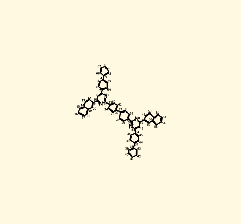 c1ccc(-c2ccc(-c3cc(-c4ccc5ccccc5c4)nc(-c4ccc(-c5ccc(-c6nc(-c7ccc(-c8ccccc8)cc7)cc(-c7ccc8ccccc8c7)n6)cc5)cc4)n3)cc2)cc1